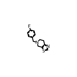 Fc1ccc(CN2CCc3n[c]sc3C2)cc1